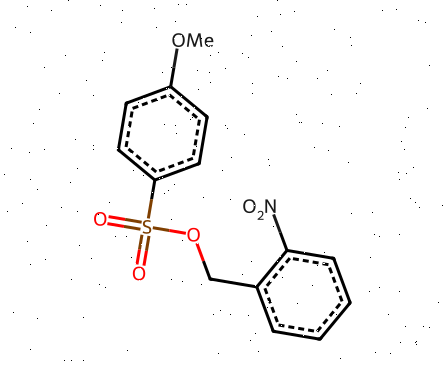 COc1ccc(S(=O)(=O)OCc2ccccc2[N+](=O)[O-])cc1